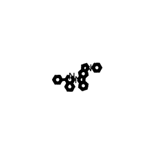 c1ccc(-c2cnc(-n3c4ccccc4c4cc5c(ccn5-c5ccccc5)cc43)c3ccccc23)cc1